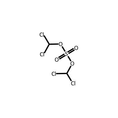 O=S(=O)(OC(Cl)Cl)OC(Cl)Cl